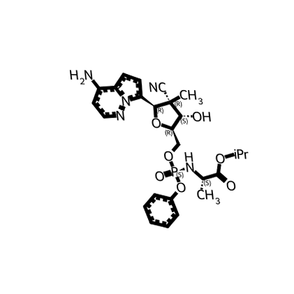 CC(C)OC(=O)[C@H](C)N[P@](=O)(OC[C@H]1O[C@@H](c2ccc3c(N)ccnn23)[C@](C)(C#N)[C@@H]1O)Oc1ccccc1